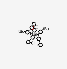 Cc1ccccc1-c1cc(-c2cc(-c3ccccc3)ccc2Nc2ccc(C(C)(C)C)cc2)c2c(c1)N(c1ccc(C(C)(C)C)cc1-c1ccccc1)c1cc3c(cc1B2)oc1ccccc13